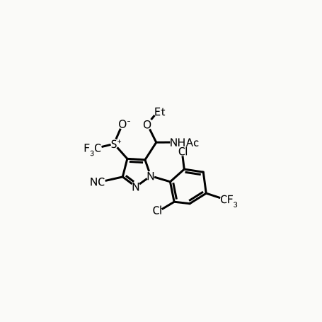 CCOC(NC(C)=O)c1c([S+]([O-])C(F)(F)F)c(C#N)nn1-c1c(Cl)cc(C(F)(F)F)cc1Cl